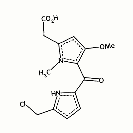 COc1cc(CC(=O)O)n(C)c1C(=O)c1ccc(CCl)[nH]1